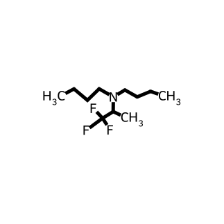 CCCCN(CCCC)C(C)C(F)(F)F